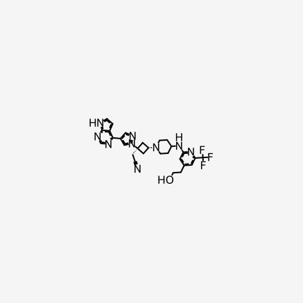 N#CC[C@]1(n2cc(-c3ncnc4[nH]ccc34)cn2)C[C@H](N2CCC(Nc3cc(CCO)cc(C(F)(F)F)n3)CC2)C1